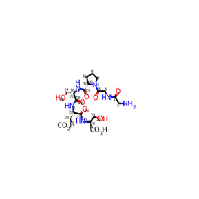 NCC(=O)NCC(=O)N1CCC[C@H]1C(=O)N[C@@H](CO)C(=O)N[C@@H](CC(=O)O)C(=O)N[C@@H](CO)C(=O)O